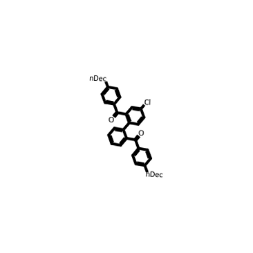 CCCCCCCCCCc1ccc(C(=O)c2ccccc2-c2ccc(Cl)cc2C(=O)c2ccc(CCCCCCCCCC)cc2)cc1